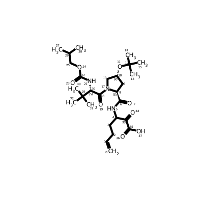 C=CCCC(NC(=O)[C@@H]1C[C@@H](OC(C)(C)C)CN1C(=O)[C@@H](NC(=O)OCC(C)C)C(C)(C)C)C(=O)C(=O)O